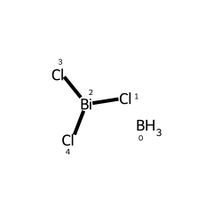 B.[Cl][Bi]([Cl])[Cl]